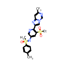 CCS(=O)(=O)c1cc(N=S(C)(=O)c2ccc(C)cc2)cnc1-c1cn2cnc(C(F)(F)F)cc2n1